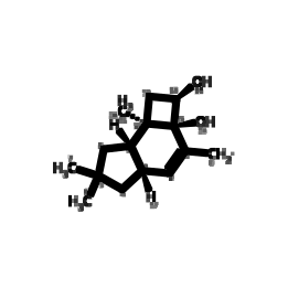 [CH2]C1=C[C@@H]2CC(C)(C)C[C@@H]2[C@@]2(C)C[C@@H](O)[C@]12O